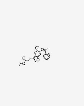 CCOC(=O)CCc1noc2cc(O[C@H](C)c3ccccn3)c(Cl)cc12